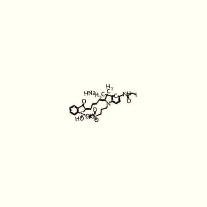 CC1(C)C(=CC=CC=C2C(=O)c3ccccc3S2(O)O)N(CCCS(=O)(=O)O)c2ccc(NC(=O)CI)cc21.[NaH]